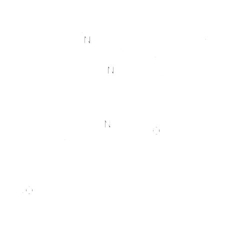 CC(C)(C1CC1)C1C(=O)N(CC2CCOCC2)Cc2cncn21